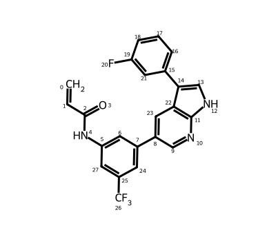 C=CC(=O)Nc1cc(-c2cnc3[nH]cc(-c4cccc(F)c4)c3c2)cc(C(F)(F)F)c1